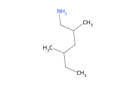 CCC(C)CC(C)CN